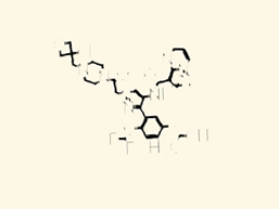 CC(C)Sc1ccc(OC(F)F)c(-c2nn(CC(=O)N3CCN(CC4(C)COC4)CC3)cc2NC(=O)c2cnn3cccnc23)c1